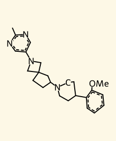 COc1ccccc1C1CCN(C2CCC3(C2)CN(c2cnc(C)nc2)C3)CC1